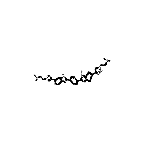 CN(C)CCn1cc(-c2ccc3nc(-c4ccc(-c5nc6ccc(-c7cn(CCN(C)C)nn7)cc6[nH]5)cc4)[nH]c3c2)nn1